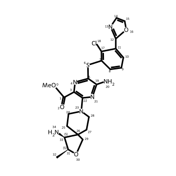 COC(=O)c1nc(Sc2cccc(-c3ncco3)c2Cl)c(N)nc1N1CCC2(CC1)CO[C@@H](C)[C@H]2N